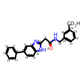 O=C(Cc1nc2cc(-c3ccccc3)ccc2[nH]1)NCc1cccc(C(=O)O)c1